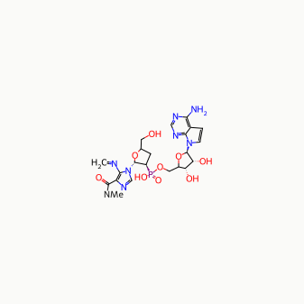 C=Nc1c(C(=O)NC)ncn1[C@@H]1OC(CO)C[C@H]1P(=O)(O)OCC1O[C@@H](n2ccc3c(N)ncnc32)[C@H](O)[C@@H]1O